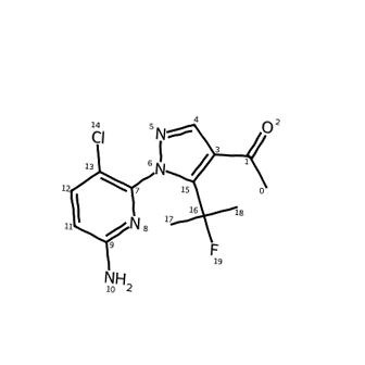 CC(=O)c1cnn(-c2nc(N)ccc2Cl)c1C(C)(C)F